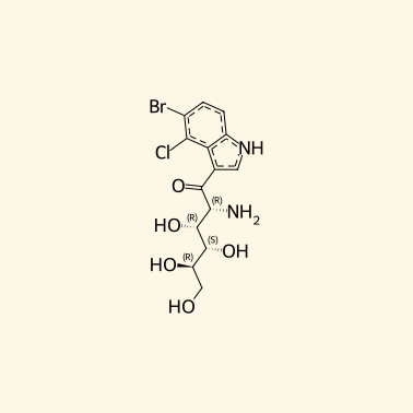 N[C@@H](C(=O)c1c[nH]c2ccc(Br)c(Cl)c12)[C@@H](O)[C@H](O)[C@H](O)CO